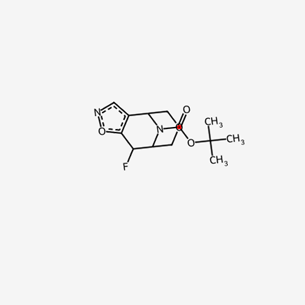 CC(C)(C)OC(=O)N1C2COCC1C(F)c1oncc12